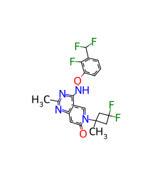 Cc1nc(NOc2cccc(C(F)F)c2F)c2cn(C3(C)CC(F)(F)C3)c(=O)cc2n1